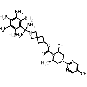 Bc1c(B)c(B)c(C(B)(B)N2CC3(CC(OC(=O)N4[C@H](C)CN(c5ncc(C(F)(F)F)cn5)C[C@@H]4C)C3)C2)c(B)c1B